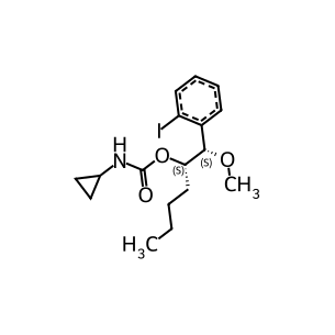 CCCC[C@H](OC(=O)NC1CC1)[C@@H](OC)c1ccccc1I